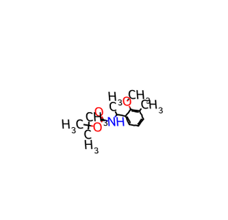 COc1c(C)cccc1C(C)NC(=O)OC(C)(C)C